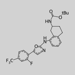 CC(C)(C)OC(=O)NC1CCc2cccc(Nc3ncc(-c4ccc(C(F)(F)F)cc4F)o3)c2C1